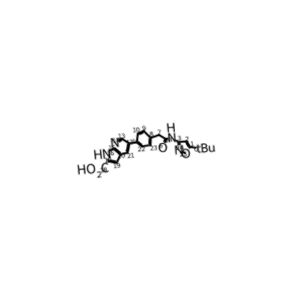 CC(C)(C)c1cc(NC(=O)Cc2ccc(-c3cnc4[nH]c(C(=O)O)cc4c3)cc2)no1